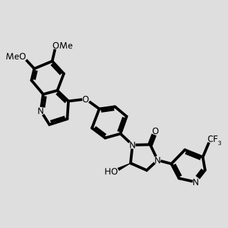 COc1cc2nccc(Oc3ccc(N4C(=O)N(c5cncc(C(F)(F)F)c5)C[C@H]4O)cc3)c2cc1OC